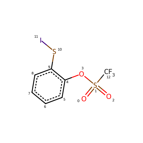 O=S(=O)(Oc1ccccc1SI)C(F)(F)F